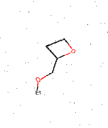 CCOCC1CCO1